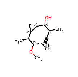 C#C[C@H](C)[C@@H](O)[C@H]1C[C@@H]1[C@H](C)[C@H](CC)OC